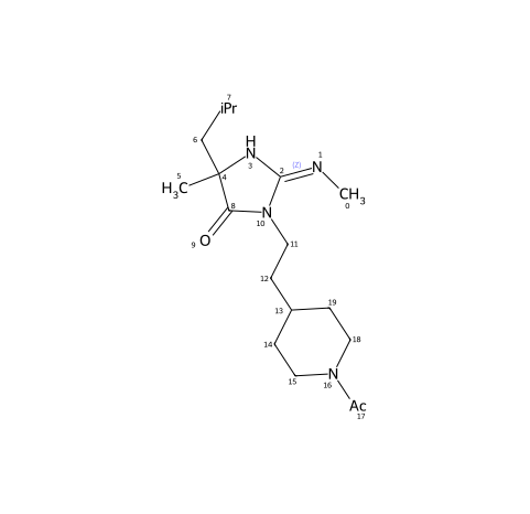 C/N=C1/NC(C)(CC(C)C)C(=O)N1CCC1CCN(C(C)=O)CC1